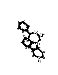 Cl.c1ccc(C2OCCn3c4c(c5cccc2c53)CNCC4)cc1